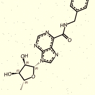 C[C@H]1O[C@@H](n2cnc3c(C(=O)NCc4ccccc4)ncnc32)[C@H](O)[C@@H]1O